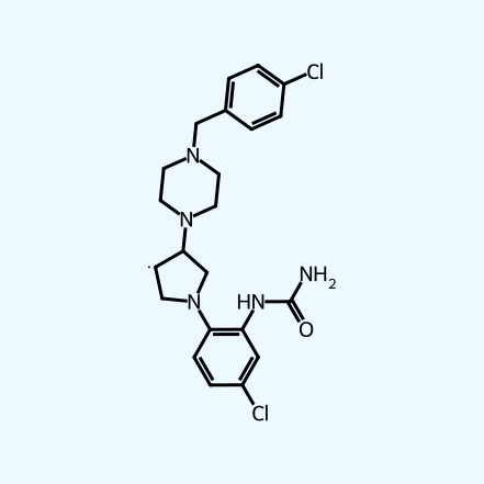 NC(=O)Nc1cc(Cl)ccc1N1C[CH]C(N2CCN(Cc3ccc(Cl)cc3)CC2)C1